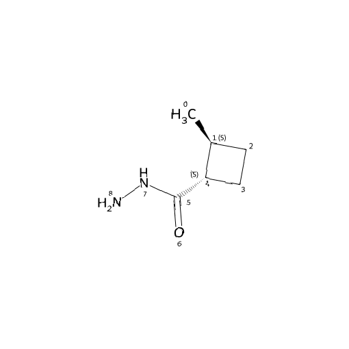 C[C@H]1CC[C@@H]1C(=O)NN